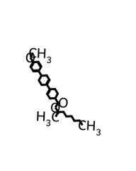 CCCCCCC(C)OC(=O)C1CC=C(C2=CCC(c3ccc(OC)cc3)CC2)CC1